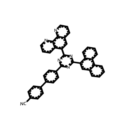 N#Cc1ccc(-c2ccc(-c3nc(-c4cc5ccccc5c5ccccc45)nc(-c4cc5cccnc5c5ncccc45)n3)cc2)cc1